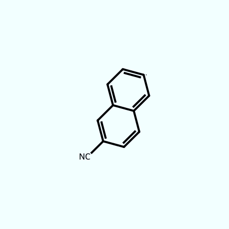 N#Cc1ccc2c[c]ccc2c1